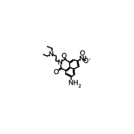 CCN(CC)CCN1C(=O)c2cc(N)cc3cc([N+](=O)[O-])cc(c23)C1=O